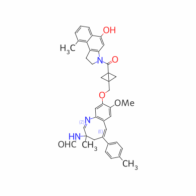 COc1cc2c(cc1OCC13CC1(C(=O)N1CCc4c1cc(O)c1cccc(C)c41)C3)/N=C\C(C)(NC=O)C/C(c1ccc(C)cc1)=C\2